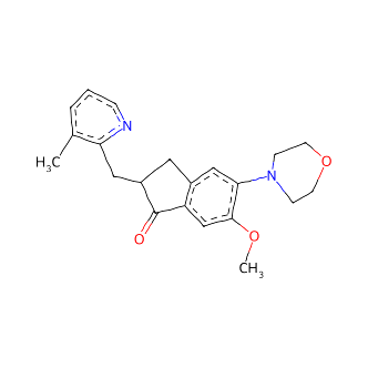 COc1cc2c(cc1N1CCOCC1)CC(Cc1ncccc1C)C2=O